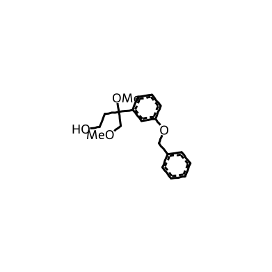 COCC(CCO)(OC)c1cccc(OCc2ccccc2)c1